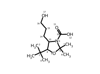 CC(C)(C)C1OC(C)(C)N(C(=O)O)C1CCCO